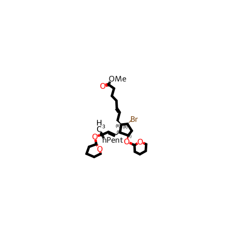 CCCCCC(C)(C=C[C@@H]1[C@@H](CC=CCCCC(=O)OC)[C@H](Br)C[C@H]1OC1CCCCO1)OC1CCCCO1